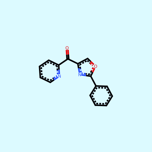 O=C(c1ccccn1)c1coc(-c2ccccc2)n1